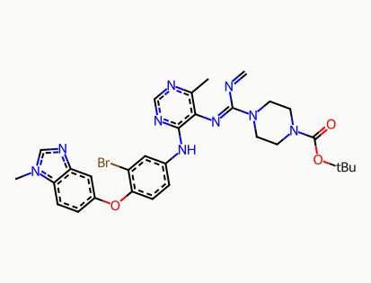 C=N/C(=N\c1c(C)ncnc1Nc1ccc(Oc2ccc3c(c2)ncn3C)c(Br)c1)N1CCN(C(=O)OC(C)(C)C)CC1